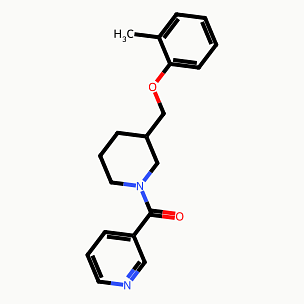 Cc1ccccc1OCC1CCCN(C(=O)c2cccnc2)C1